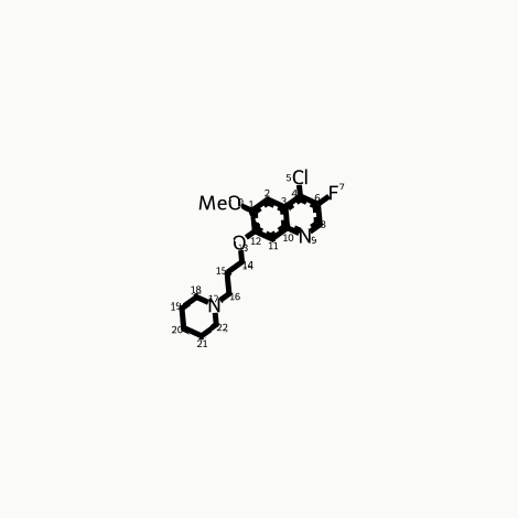 COc1cc2c(Cl)c(F)cnc2cc1OCCCN1CCCCC1